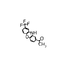 CC(=O)c1ccc2c(c1)Nc1cc(C(F)(F)F)ccc1O2